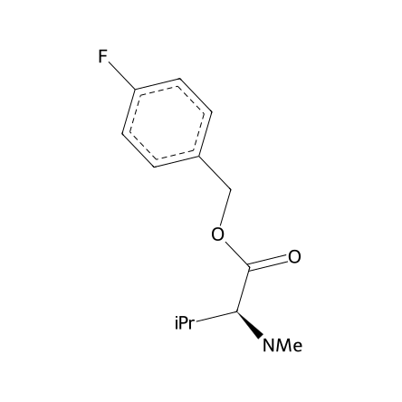 CN[C@H](C(=O)OCc1ccc(F)cc1)C(C)C